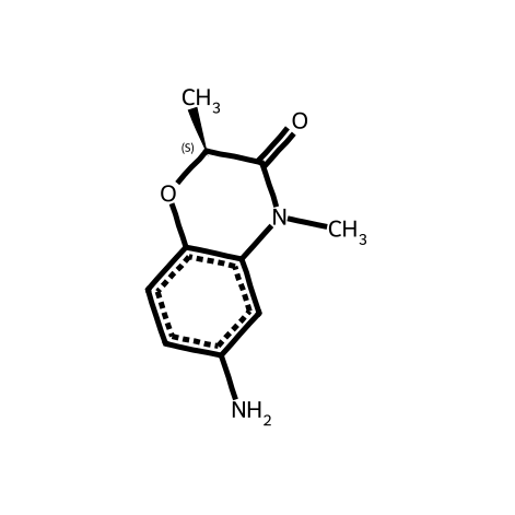 C[C@@H]1Oc2ccc(N)cc2N(C)C1=O